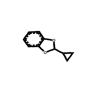 c1ccc2c(c1)OC(C1CC1)O2